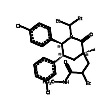 CCC(C[C@@]1(C)C[C@H](c2cccc(Cl)c2)[C@@H](c2ccc(Cl)cc2)N(C(CC)CC)C1=O)C(=O)NC(=O)O